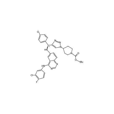 CC(C)(C)OC(=O)N1CCC(n2cc([C@@H](Nc3ccc4ncnc(Nc5ccc(F)c(Cl)c5)c4c3)c3ccc(Cl)cc3)nn2)CC1